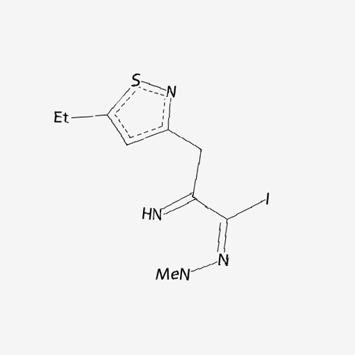 CCc1cc(CC(=N)/C(I)=N\NC)ns1